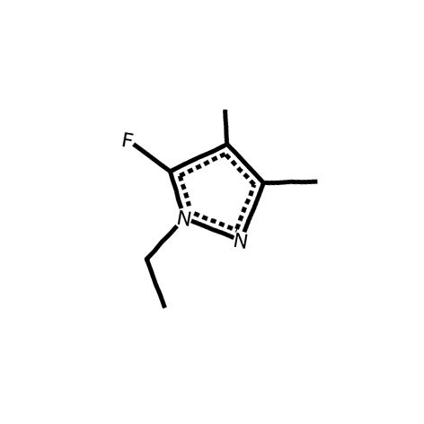 CCn1nc(C)c(C)c1F